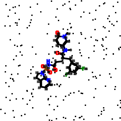 CN(C(=O)[C@@H](CCC(=O)NS(=O)(=O)N1CCc2cccnc21)Cc1cc(F)cc(F)c1)c1ccc(=O)n(C)c1